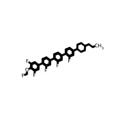 CCCC1CCC(c2ccc(-c3ccc(-c4ccc(-c5cc(F)c(OCF)c(F)c5)c(F)c4)c(F)c3)c(F)c2)CC1